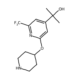 CC(C)(O)c1cc(OC2CCNCC2)nc(C(F)(F)F)c1